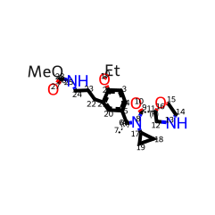 CCOc1ccc([C@@H](C)N(C(=O)[C@H]2CNCCO2)C2CC2)cc1CCCNC(=O)OC